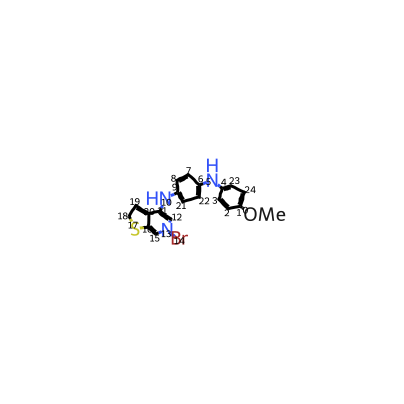 COc1ccc(Nc2ccc(NC3=CN(Br)C=C4SCC=C34)cc2)cc1